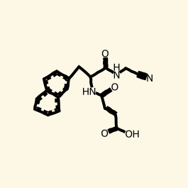 N#CCNC(=O)C(Cc1ccc2ccccc2c1)NC(=O)C=CC(=O)O